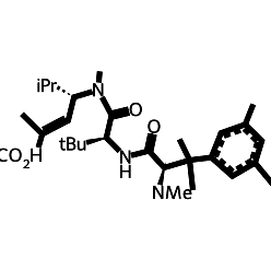 CN[C@@H](C(=O)N[C@H](C(=O)N(C)[C@H](/C=C(\C)C(=O)O)C(C)C)C(C)(C)C)C(C)(C)c1cc(C)cc(C)c1